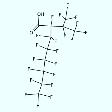 O=C(O)C(F)(C(F)(F)C(F)(F)C(F)(F)C(F)(F)C(F)(F)C(F)(F)F)C(F)(C(F)(F)F)C(F)(F)F